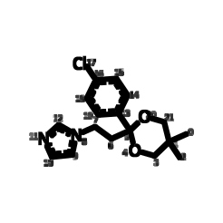 CC1(C)COC(CCn2ccnc2)(c2ccc(Cl)cc2)OC1